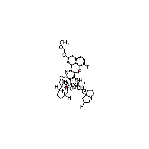 COCOc1cc(-c2nc3c4c(nc(OC[C@@]56CCCN5C[C@@H](F)C6)nc4c2F)N2C[C@H]4CC[C@@H]([C@H]2CO3)N4C(=O)OC(C)(C)C)c2c(F)c(F)ccc2c1